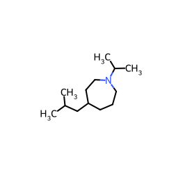 CC(C)CC1CCCN(C(C)C)CC1